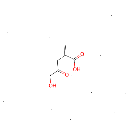 C=C(CC(=O)CO)C(=O)O